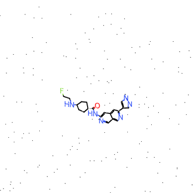 Cn1cc(-c2cc3cc(NC(=O)[C@H]4CC[C@H](NCCF)CC4)ncc3cn2)cn1